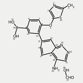 Cc1ncc(Oc2ccc(B(O)O)cc2-c2ccc3c(N)cnnc3c2)s1.O=CO